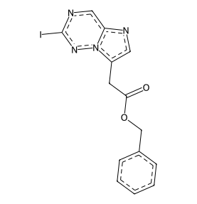 O=C(Cc1cnc2cnc(I)nn12)OCc1ccccc1